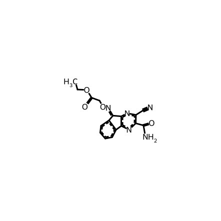 CCOC(=O)CO/N=C1\c2ccccc2-c2nc(C(N)=O)c(C#N)nc21